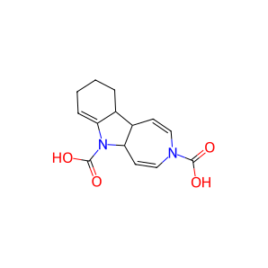 O=C(O)N1C=CC2C3CCCC=C3N(C(=O)O)C2C=C1